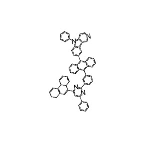 C1=CC2C(c3cc(-c4ccccc4)nc(-c4cccc(-c5c6ccccc6c(-c6ccc7c(c6)c6cnccc6n7-c6ccccc6)c6ccccc56)c4)n3)=CC3=C(C=CCC3)C2C=C1